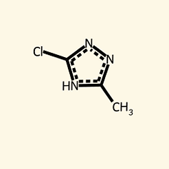 Cc1nnc(Cl)[nH]1